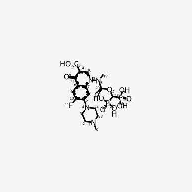 CN1CCN(c2cc3c(cc2F)c(=O)c(C(=O)O)cn3N(C)C(=O)OC(P(=O)(O)O)P(=O)(O)O)CC1